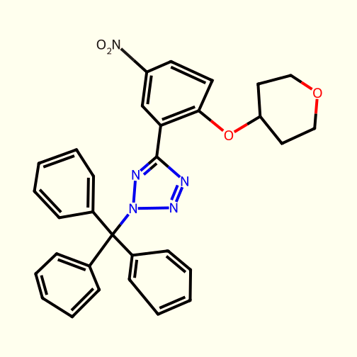 O=[N+]([O-])c1ccc(OC2CCOCC2)c(-c2nnn(C(c3ccccc3)(c3ccccc3)c3ccccc3)n2)c1